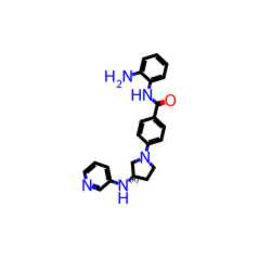 Nc1ccccc1NC(=O)c1ccc(N2CC[C@@H](Nc3cccnc3)C2)cc1